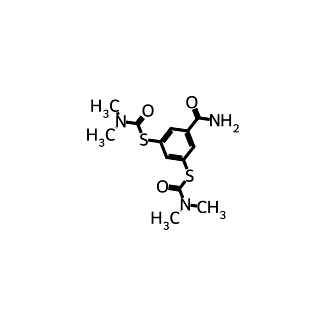 CN(C)C(=O)Sc1cc(SC(=O)N(C)C)cc(C(N)=O)c1